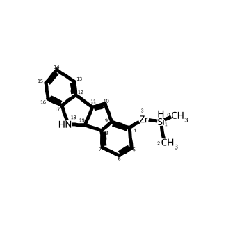 C[SiH](C)[Zr][c]1cccc2c1C=C1c3ccccc3NC12